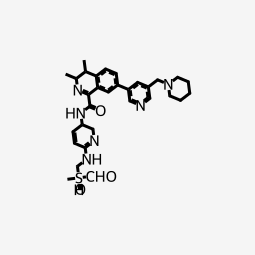 CC1N=C(C(=O)NC2C=CC(NC[SH](C)(=O)C=O)=NC2)c2cc(-c3cncc(CN4CCCCC4)c3)ccc2C1C